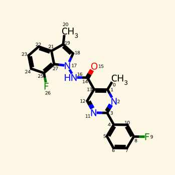 Cc1nc(-c2cccc(F)c2)ncc1C(=O)Nn1cc(C)c2cccc(F)c21